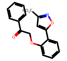 O=C(COc1ccccc1-c1cc(C(=O)O)no1)c1ccccc1